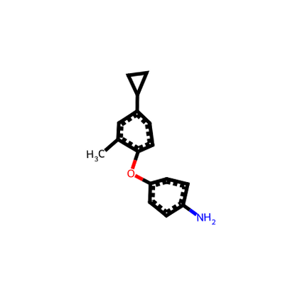 Cc1cc(C2CC2)ccc1Oc1ccc(N)cc1